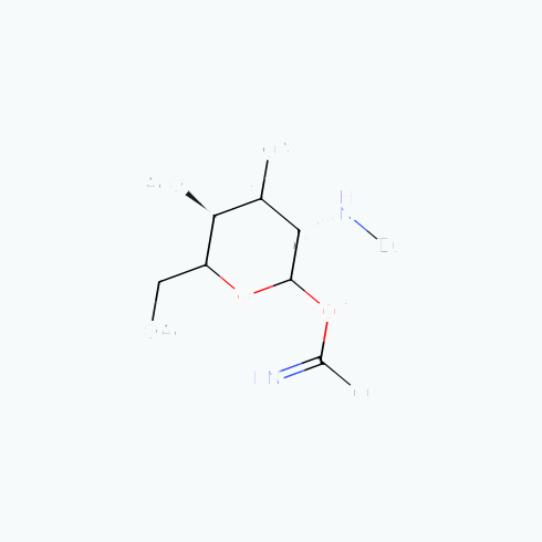 CCN[C@@H]1C(OC(=N)C(Cl)(Cl)Cl)OC(COC(C)=O)[C@@H](OC(C)=O)C1OC(C)=O